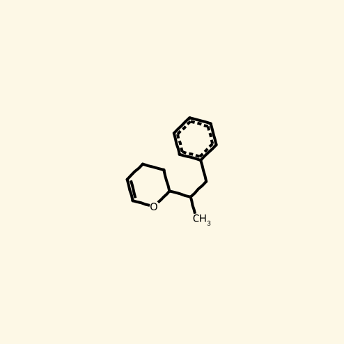 CC(Cc1ccccc1)C1CCC=CO1